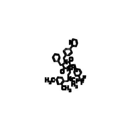 Cc1ccc(CN(C)CCN(C)C(=O)C(Cc2ccccc2)N(Cc2ccc(-c3ccccn3)cc2)C(=O)C=Cc2ccc(C(F)(F)F)cc2)c(C)c1